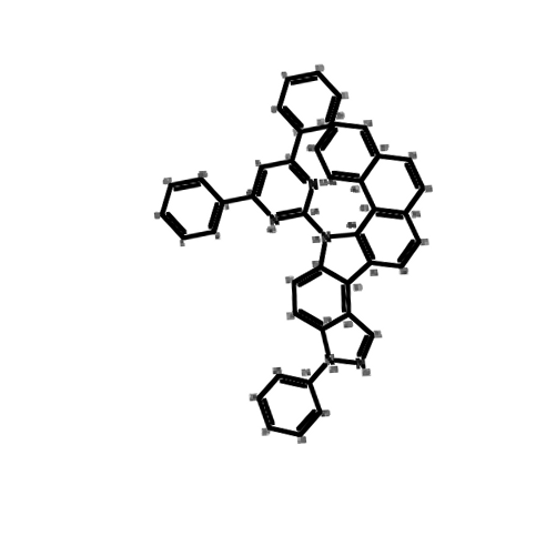 c1ccc(-c2cc(-c3ccccc3)nc(-n3c4ccc5c(cnn5-c5ccccc5)c4c4ccc5ccc6ccccc6c5c43)n2)cc1